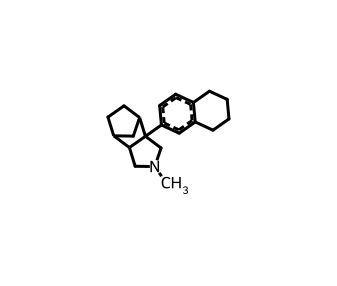 CN1CC2C3CCC(C3)C2(c2ccc3c(c2)CCCC3)C1